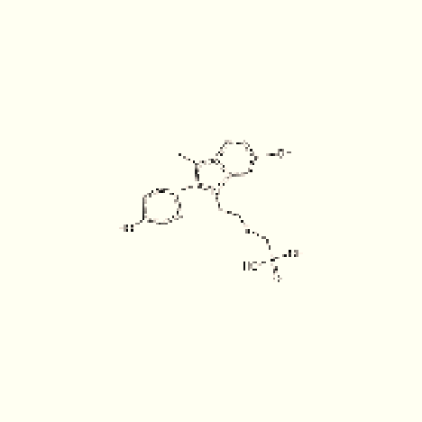 Cc1c(-c2ccc(O)cc2)n(CCSCP(=O)(O)O)c2cc(O)ccc12